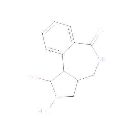 CN1CC2CNC(=O)c3ccccc3C2C1O